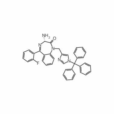 N[C@H]1N=C(c2ccccc2F)c2ccccc2N(Cc2cn(C(c3ccccc3)(c3ccccc3)c3ccccc3)cn2)C1=O